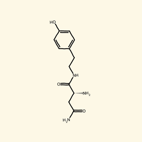 NC(=O)C[C@@H](N)C(=O)NCCc1ccc(O)cc1